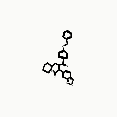 O=C(O)/C(=C(\CC1CCCCC1)C(=O)c1ccc(OCc2ccccc2)cc1)c1ccc2nsnc2c1